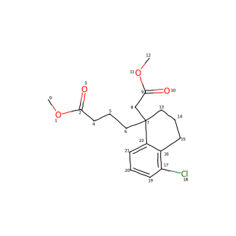 COC(=O)CCCC1(CC(=O)OC)CCCc2c(Cl)cccc21